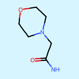 [NH]C(=O)CN1CCOCC1